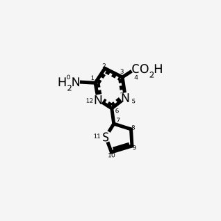 Nc1cc(C(=O)O)nc(C2CC=CS2)n1